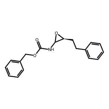 O=C(NC1O[C@H]1CCc1ccccc1)OCc1ccccc1